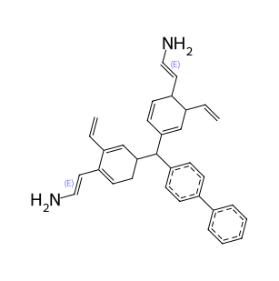 C=CC1=CC(C(C2=CC(C=C)C(/C=C/N)C=C2)c2ccc(-c3ccccc3)cc2)CC=C1/C=C/N